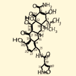 CN(C)[C@@H]1C(O)=C(C(N)=O)C(=O)[C@@]2(O)C(O)=C3C(=O)c4c(O)ccc(CNC(=O)C5=CONC5)c4C[C@H]3C[C@@H]12